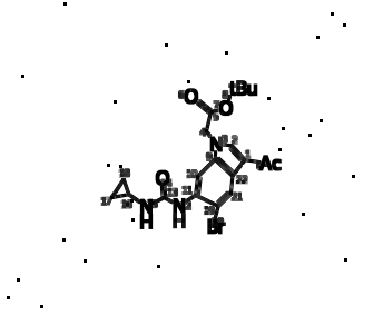 CC(=O)c1cn(CC(=O)OC(C)(C)C)c2cc(NC(=O)NC3CC3)c(Br)cc12